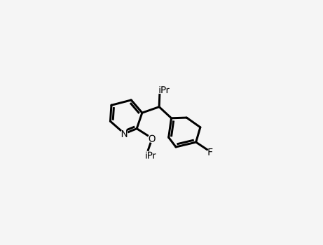 CC(C)Oc1ncccc1C(C1=CC=C(F)CC1)C(C)C